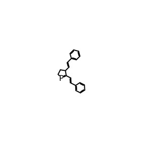 C(=Cc1ccccc1)C1=PCCC1C=Cc1ccccc1